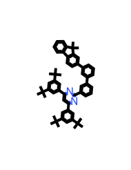 CC(C)(C)c1cc(-c2cc(-c3cc(C(C)(C)C)cc(C(C)(C)C)c3)nc(-c3cccc(-c4cccc(-c5ccc6c(c5)C(C)(C)c5ccccc5-6)c4)c3)n2)cc(C(C)(C)C)c1